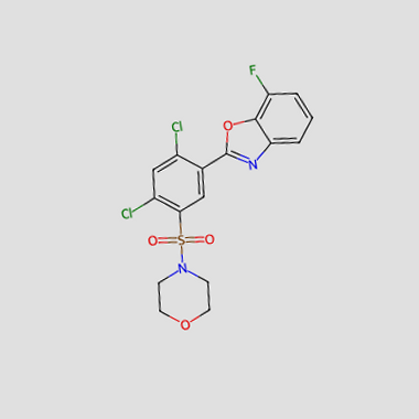 O=S(=O)(c1cc(-c2nc3cccc(F)c3o2)c(Cl)cc1Cl)N1CCOCC1